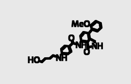 COc1ccccc1-c1ccc(NC(=O)c2ccc(NCCCCO)cc2)c2c1CNC2=O